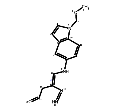 COCn1ccc2cc(N/C=C(/CC=O)N=N)ccc21